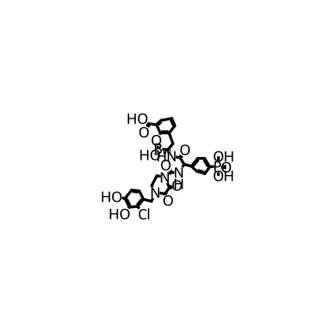 O=C(O)c1cccc2c1OB(O)[C@@H](NC(=O)C(NC(=O)N1CCN(Cc3ccc(O)c(O)c3Cl)C(=O)C1=O)c1ccc(P(=O)(O)O)cc1)C2